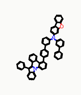 c1ccc(-c2cccc(N(c3cccc(-c4ccc(-c5cccc6c5c5ccccc5c5c(-c7ccccc7)c7ccccc7n65)cc4)c3)c3ccc4c(c3)oc3ccccc34)c2)cc1